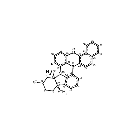 CC12CC(F)CC[C@@]1(C)c1cccc3c1N2c1cccc2c1B3c1ccc3ccccc3c1O2